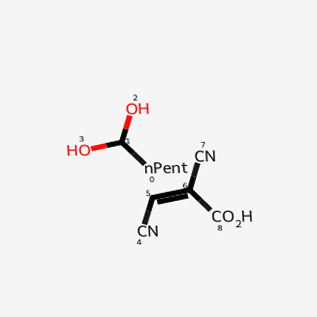 CCCCCC(O)O.N#CC=C(C#N)C(=O)O